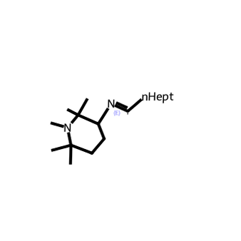 [CH2]CCCCCC/[C]=N/C1CCC(C)(C)N(C)C1(C)C